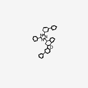 C1=CC(c2ccccc2)=CC(c2nc(-c3ccccc3)nc(C3Cc4c(oc5ccc(-c6ccccc6)cc45)-c4ccccc43)n2)C1